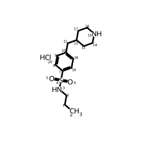 CCCNS(=O)(=O)c1ccc(CC2CCNCC2)cc1.Cl